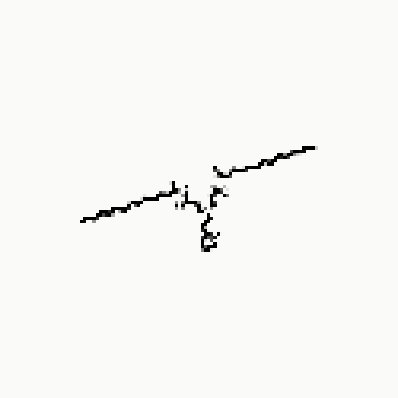 CCCCCCCCCCCCCC(C)OC(=O)CCN(CCC(=O)OC(C)CCCCCCCCCCCCC)CCC1CCCN1C